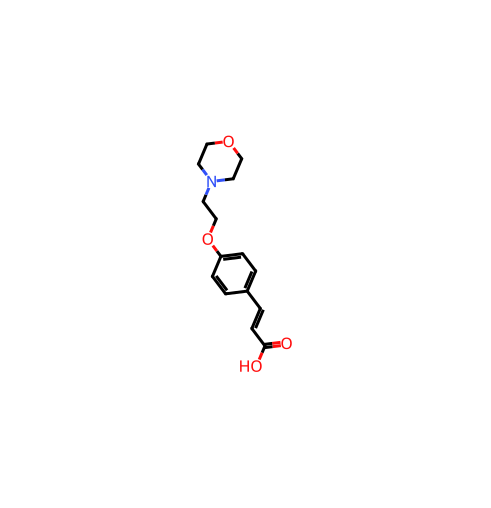 O=C(O)C=Cc1ccc(OCCN2CCOCC2)cc1